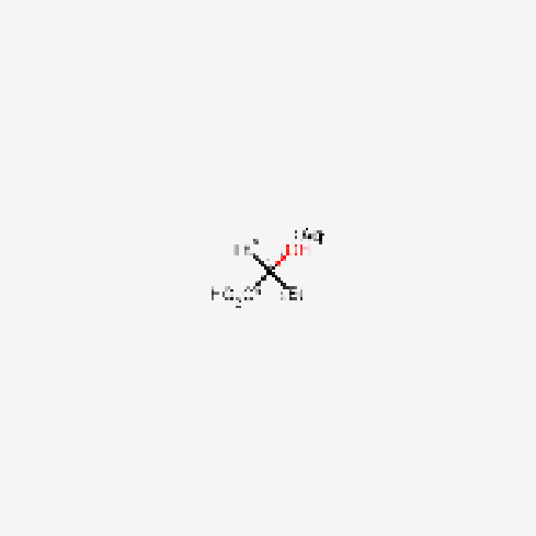 CCC(O)(CC)C(=O)O.[Ag]